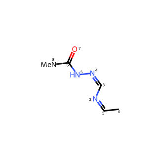 C/C=N\C=N/NC(=O)NC